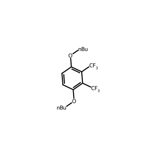 CCCCOc1ccc(OCCCC)c(C(F)(F)F)c1C(F)(F)F